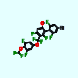 CCc1cc(F)c(-c2c([O])cc(F)c(C(F)(F)Oc3cc(F)c(OC(F)F)c(F)c3)c2F)c(F)c1